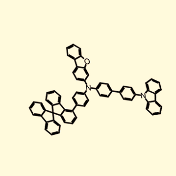 c1ccc2c(c1)-c1ccccc1C21c2ccccc2-c2c(-c3ccc(N(c4ccc(-c5ccc(-n6c7ccccc7c7ccccc76)cc5)cc4)c4ccc5c(c4)oc4ccccc45)cc3)cccc21